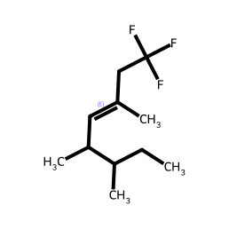 CCC(C)C(C)/C=C(\C)CC(F)(F)F